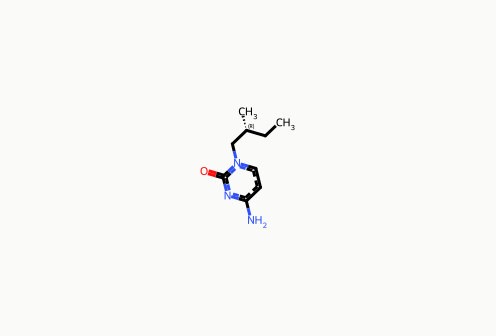 CC[C@@H](C)Cn1ccc(N)nc1=O